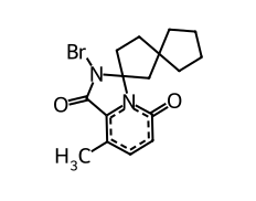 Cc1ccc(=O)n2c1C(=O)N(Br)C21CCC2(CCCC2)C1